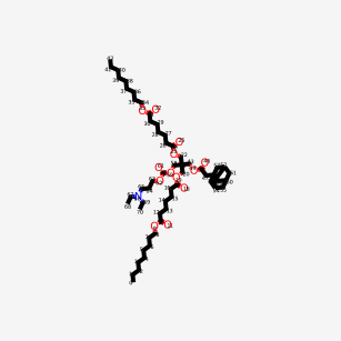 CCCCCCCCCOC(=O)CCCCCC(=O)OCC(COC(=O)CCCCCC(=O)OCCCCCCCCC)(COC(=O)CC12CC3CC(CC(C3)C1)C2)COC(=O)OCCCN(CC)CC